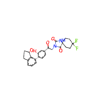 O=C(CN1C(=O)NC2(CCC(F)(F)CC2)C1=O)c1ccc(-c2cccc3c2C(O)CC3)cc1